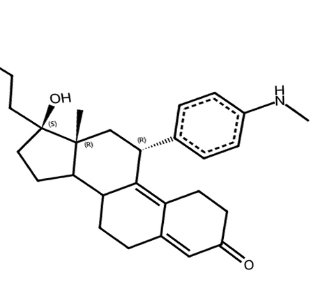 CNc1ccc([C@H]2C[C@]3(C)C(CC[C@]3(O)CCCO)C3CCC4=CC(=O)CCC4=C32)cc1